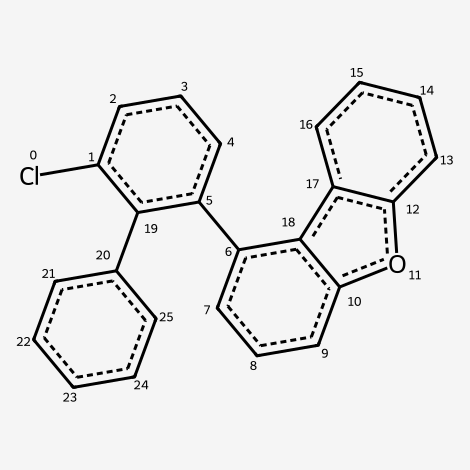 Clc1cccc(-c2cccc3oc4ccccc4c23)c1-c1ccccc1